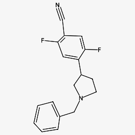 N#Cc1cc(F)c(C2CCN(Cc3ccccc3)C2)cc1F